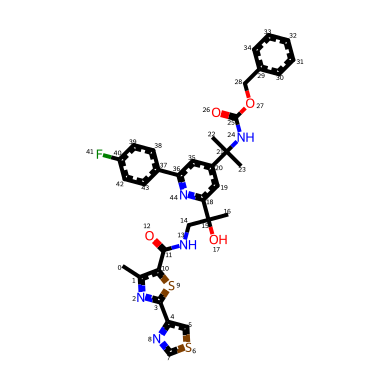 Cc1nc(-c2cscn2)sc1C(=O)NCC(C)(O)c1cc(C(C)(C)NC(=O)OCc2ccccc2)cc(-c2ccc(F)cc2)n1